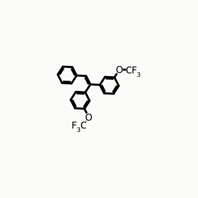 FC(F)(F)Oc1cccc(C(=Cc2ccccc2)c2cccc(OC(F)(F)F)c2)c1